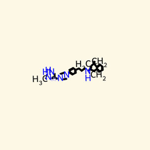 C=c1c(C)c(NCCCc2ccc(N3CCN(C/C(C=N)=C/NC)CC3)cc2)c(=C)c2ccccc12